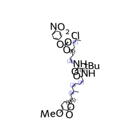 COC1=CC[C@@H]([C@@H](C)/C=C(C)/C=C\C=C/C(=O)N[C@H](C(=O)N/C=C\C[C@H](C/C=C(\C)Cl)OC(=O)Oc2ccc([N+](=O)[O-])cc2)C(C)(C)C)OC1=O